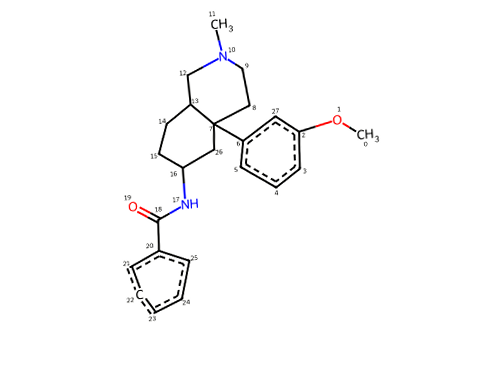 COc1cccc(C23CCN(C)CC2CCC(NC(=O)c2ccccc2)C3)c1